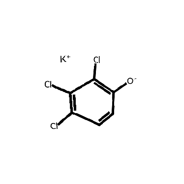 [K+].[O-]c1ccc(Cl)c(Cl)c1Cl